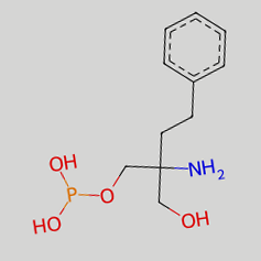 NC(CO)(CCc1ccccc1)COP(O)O